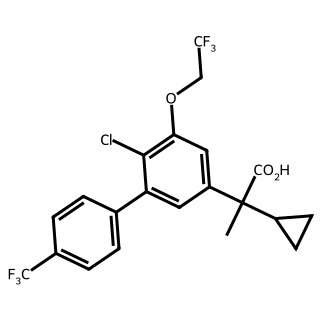 CC(C(=O)O)(c1cc(OCC(F)(F)F)c(Cl)c(-c2ccc(C(F)(F)F)cc2)c1)C1CC1